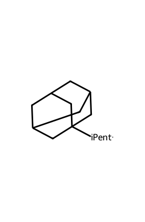 CCC[C](C)C12CC3CC(CC(C3)C1)C2